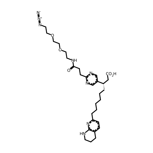 [N-]=[N+]=NCCOCCOCCNC(=O)CCc1ncc([C@@H](CCCCCCc2ccc3c(n2)NCCC3)CC(=O)O)cn1